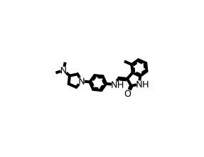 Cc1cccc2c1/C(=C/Nc1ccc(N3CCC(N(C)C)C3)cc1)C(=O)N2